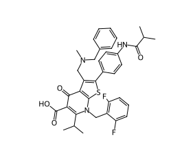 CC(C)C(=O)Nc1ccc(-c2sc3c(c2CN(C)Cc2ccccc2)c(=O)c(C(=O)O)c(C(C)C)n3Cc2c(F)cccc2F)cc1